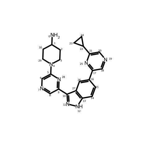 NC1CCN(c2cncc(-c3n[nH]c4ccc(-c5cncc(C6CC6)n5)cc34)n2)CC1